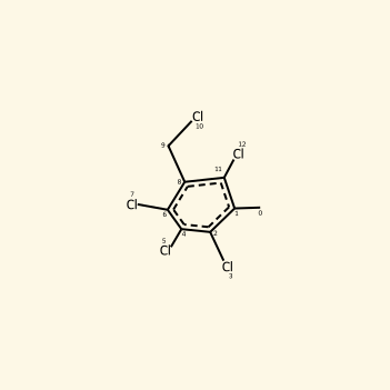 Cc1c(Cl)c(Cl)c(Cl)c(CCl)c1Cl